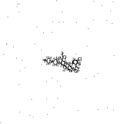 C=CC(=O)Nc1cc(Nc2cc(N3OCCC3c3cccc(Cl)c3F)ncn2)c(OC)cc1N1CCC(N2CCN(C)CC2)CC1